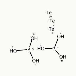 OP(O)O.OP(O)O.[Te].[Te].[Te]